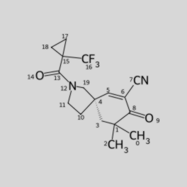 CC1(C)C[C@]2(C=C(C#N)C1=O)CCN(C(=O)C1(C(F)(F)F)CC1)C2